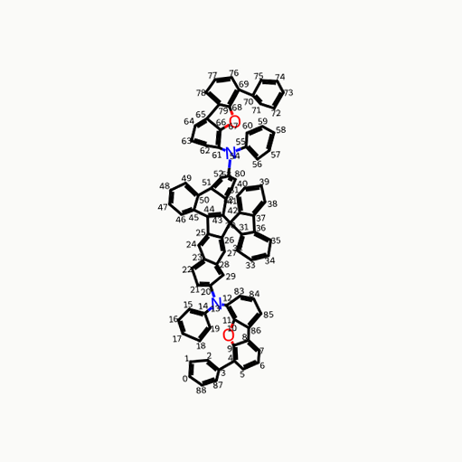 c1ccc(-c2cccc3c2oc2c(N(c4ccccc4)c4ccc5cc6c(cc5c4)C4(c5ccccc5-c5ccccc54)c4c-6c5ccccc5c5cc(N(c6ccccc6)c6cccc7c6oc6c(-c8ccccc8)cccc67)ccc45)cccc23)cc1